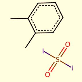 Cc1ccccc1C.O=S(=O)(I)I